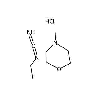 CCN=C=N.CN1CCOCC1.Cl